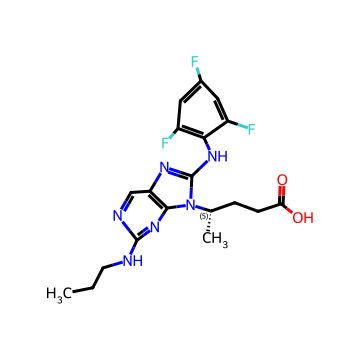 CCCNc1ncc2nc(Nc3c(F)cc(F)cc3F)n([C@@H](C)CCC(=O)O)c2n1